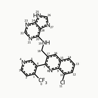 FC(F)(F)c1ccncc1-c1nc2c(Cl)cccc2cc1CNc1ncnc2[nH]cnc12